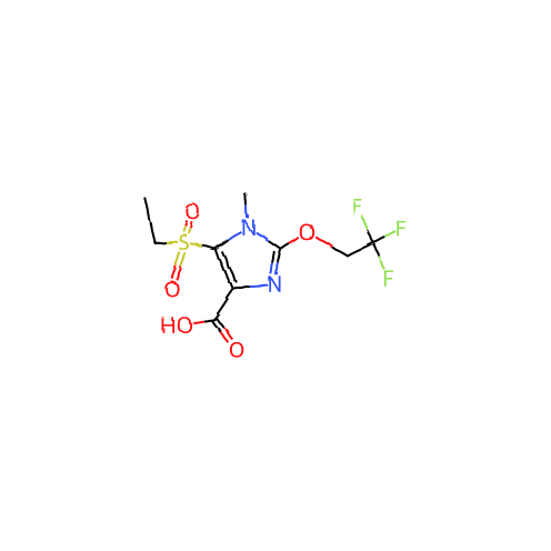 CCS(=O)(=O)c1c(C(=O)O)nc(OCC(F)(F)F)n1C